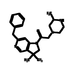 CC1(C)CN(C(=O)CN2CCNC(C(F)(F)F)C2)c2cc(Cc3ccccc3)ncc21